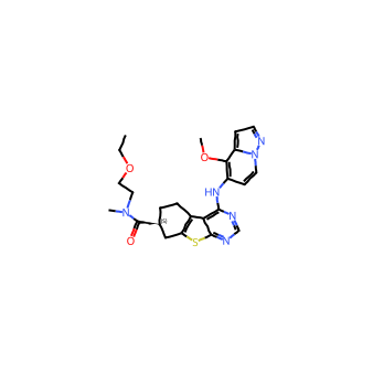 CCOCCN(C)C(=O)[C@H]1CCc2c(sc3ncnc(Nc4ccn5nccc5c4OC)c23)C1